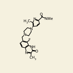 CNC(=O)c1ccc(N2CCN(Cc3ccc4nc(C)c(=O)[nH]c4c3F)CC2)c(C)n1